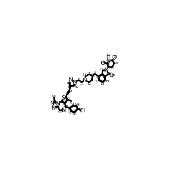 Cc1c(C#Cc2cnn(CCN3CCC(Cc4cccc5c4CN(C4CCC(=O)NC4=O)C5=O)CC3)c2)sc2c1C(c1ccc(Cl)cc1)=NCc1nnc(C)n1-2